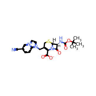 CC(C)(C)OC(=O)N[C@@H]1C(=O)N2C(C(=O)[O-])=C(Cn3cc[n+]4cc(C#N)ccc34)CS[C@@H]12